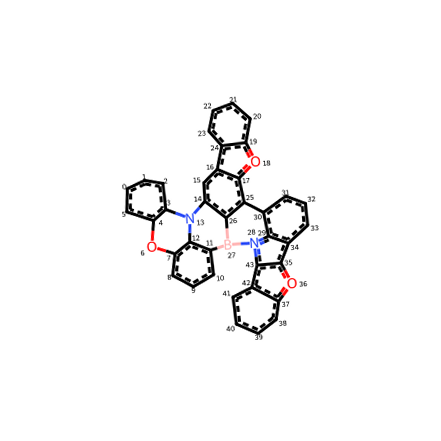 c1ccc2c(c1)Oc1cccc3c1N2c1cc2c(oc4ccccc42)c2c1B3n1c3c-2cccc3c2oc3ccccc3c21